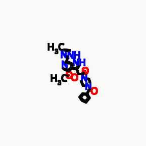 COc1cnc(-c2nc(C)c[nH]2)c2[nH]cc(C(=O)C(=O)N3CCN(C(=O)c4ccccc4)CC3)c12